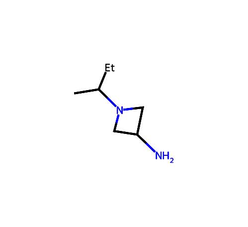 CCC(C)N1CC(N)C1